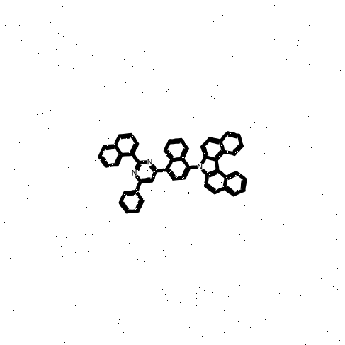 c1ccc(-c2cc(-c3ccc(-n4c5ccc6ccccc6c5c5c6ccccc6ccc54)c4ccccc34)nc(-c3cccc4ccccc34)n2)cc1